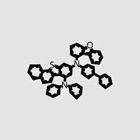 c1ccc(-c2ccc(N(c3cc(N(c4ccccc4)c4ccccc4)c4c(c3)sc3c5ccccc5ccc34)c3cccc4oc5ccccc5c34)cc2)cc1